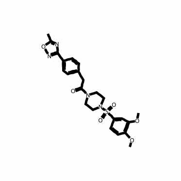 COc1ccc(S(=O)(=O)N2CCN(C(=O)Cc3ccc(-c4noc(C)n4)cc3)CC2)cc1OC